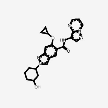 O=C(Nc1cnn2cccnc12)c1cc2cn(C3CCCC(O)C3)nc2cc1OC1CC1